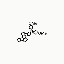 COc1ccc(N(c2ccc(OC)cc2)c2ccc3c(c2)c2cccc4c5c6ccccc6c6cccc(c65)c3c24)cc1